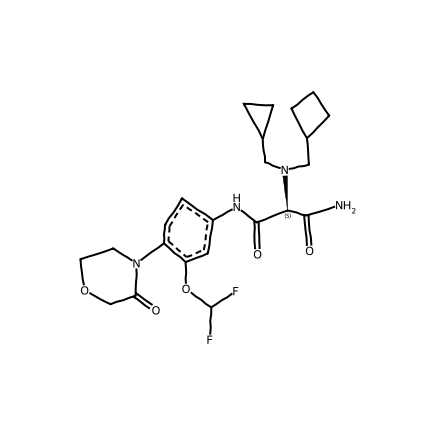 NC(=O)[C@@H](C(=O)Nc1ccc(N2CCOCC2=O)c(OC(F)F)c1)N(CC1CCC1)CC1CC1